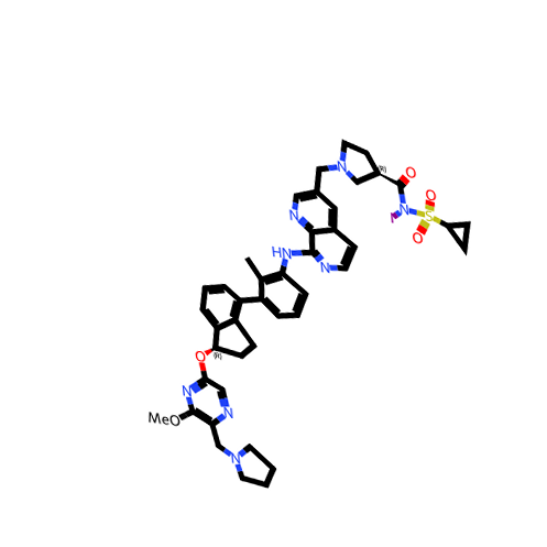 COc1nc(O[C@@H]2CCc3c(-c4cccc(Nc5nccc6cc(CN7CC[C@@H](C(=O)N(I)S(=O)(=O)C8CC8)C7)cnc56)c4C)cccc32)cnc1CN1CCCC1